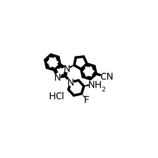 Cl.N#Cc1ccc2c(c1)CC[C@@H]2n1c(N2CC[C@@H](F)[C@H](N)C2)nc2ccccc21